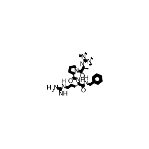 C[C@H](N=C(N(C)C)N(C)C)C(=O)N1CCC[C@@H]1C(=O)N[C@@H](CCCNC(=N)N)C(=O)NCc1ccccc1